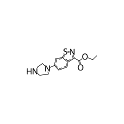 CCOC(=O)c1nsc2cc(N3CCNCC3)ccc12